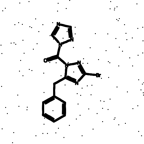 O=C(n1cncn1)n1nc(Br)nc1Cc1ccccc1